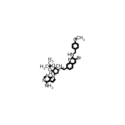 COc1ccc(CNc2nc3cc(CC[C@H]4C[C@@H](n5ccc6c(N)ncnc65)[C@@H]5OC(C)(C)O[C@]45C)ccc3cc2Br)cc1